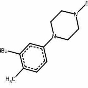 CCC(C)c1cc(N2CCN(CC)CC2)ccc1C